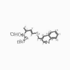 CC(CCSCc1cnc2ccccc2c1)N(C=O)OC(C)(C)C